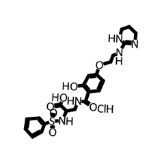 Cl.O=C(NCC(NS(=O)(=O)c1ccccc1)C(=O)O)c1ccc(OCCNC2=NCCCN2)cc1O